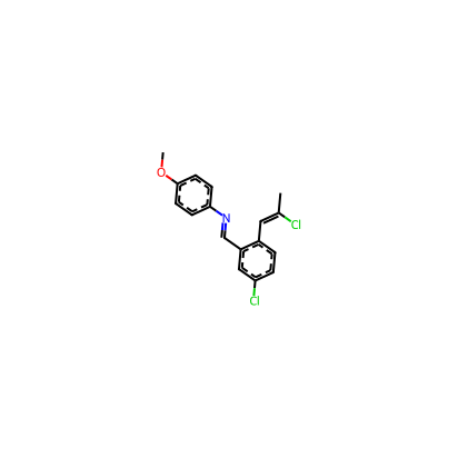 COc1ccc(/N=C/c2cc(Cl)ccc2/C=C(/C)Cl)cc1